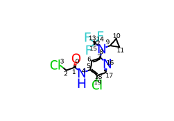 O=C(CCl)Nc1cc(N(C2CC2)C(F)(F)F)ncc1Cl